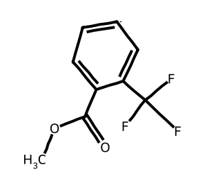 COC(=O)c1cc[c]cc1C(F)(F)F